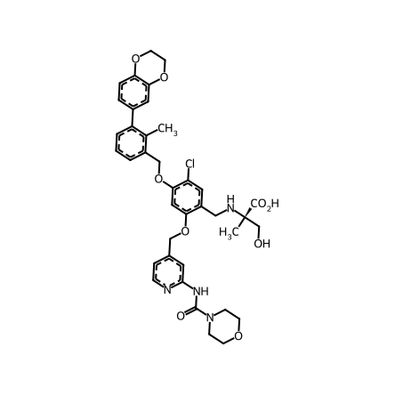 Cc1c(COc2cc(OCc3ccnc(NC(=O)N4CCOCC4)c3)c(CN[C@@](C)(CO)C(=O)O)cc2Cl)cccc1-c1ccc2c(c1)OCCO2